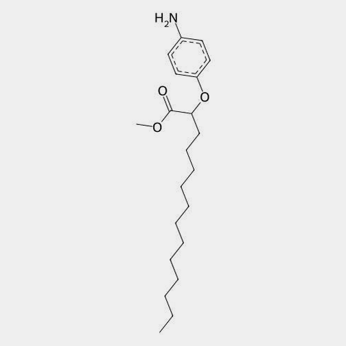 CCCCCCCCCCCCC(Oc1ccc(N)cc1)C(=O)OC